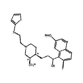 COc1cnc2ccc(F)c(C(O)CC[C@@H]3CCN(CCSc4cccs4)C[C@@H]3C(=O)O)c2c1